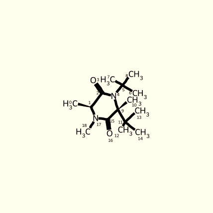 C[C@H]1C(=O)N(C(C)(C)C)[C@](C)(C(C)(C)C)C(=O)N1C